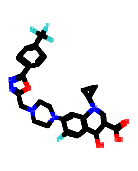 O=C(O)C1=CN(C2CC2)c2cc(N3CCN(Cc4nnc(-c5ccc(C(F)(F)F)cc5)o4)CC3)c(F)cc2C1O